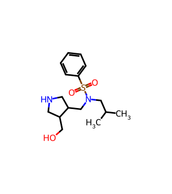 CC(C)CN(CC1CNCC1CO)S(=O)(=O)c1ccccc1